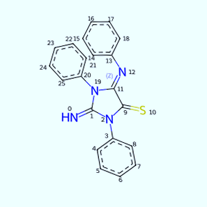 N=C1N(c2ccccc2)C(=S)/C(=N/c2ccccc2)N1c1ccccc1